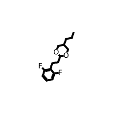 CCCC1COC(CCc2c(F)cccc2F)OC1